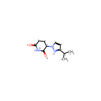 CC(C)c1ccn(C2CCC(=O)NC2=O)n1